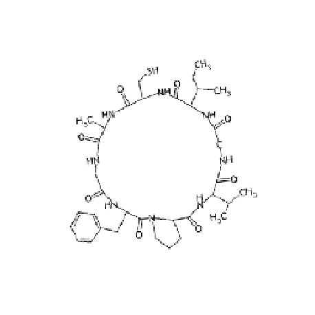 CCC(C)C1NC(=O)CNC(=O)C(C(C)C)NC(=O)C2CCCN2C(=O)C(Cc2ccccc2)NC(=O)CNC(=O)C(C)NC(=O)C(CS)NC1=O